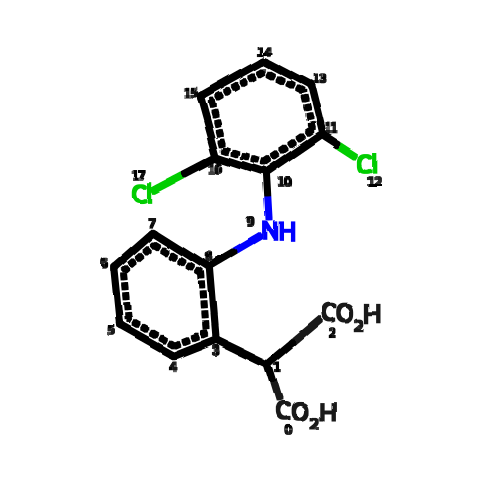 O=C(O)C(C(=O)O)c1ccccc1Nc1c(Cl)cccc1Cl